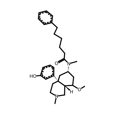 COC1C[C@@H](N(C)C(=O)CCCCCc2ccccc2)C[C@]2(c3cccc(O)c3)CCN(C)C[C@@H]12